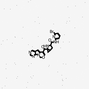 O=C(Nc1cccc(Br)n1)C1CC2CC2(C(=O)C2=COCn3c2cc2cncnc23)N1